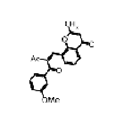 COc1cccc(C(=O)/C(=C\c2cccc3c(=O)cc(C)oc23)C(C)=O)c1